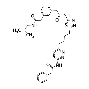 CC(C)CNC(=O)Cc1cccc(CC(=O)Nc2nnc(CCCCc3ccc(NC(=O)Cc4ccccc4)nn3)s2)c1